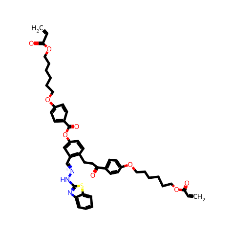 C=CC(=O)OCCCCCCOc1ccc(C(=O)CCc2ccc(OC(=O)c3ccc(OCCCCCCOC(=O)C=C)cc3)cc2/C=N/Nc2nc3ccccc3s2)cc1